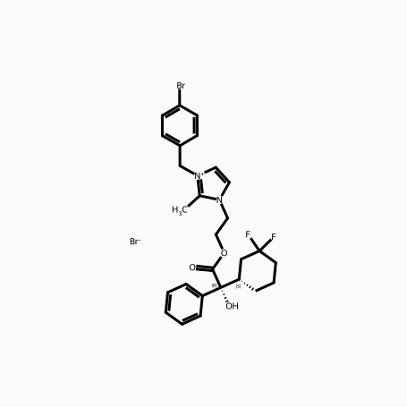 Cc1n(CCOC(=O)[C@](O)(c2ccccc2)[C@H]2CCCC(F)(F)C2)cc[n+]1Cc1ccc(Br)cc1.[Br-]